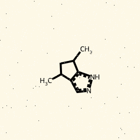 CC1CC(C)c2[nH]ncc21